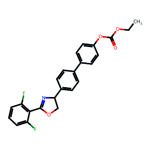 CCOC(=O)Oc1ccc(-c2ccc(C3COC(c4c(F)cccc4F)=N3)cc2)cc1